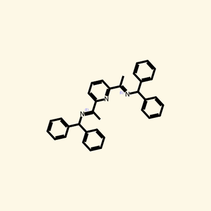 C/C(=N\C(c1ccccc1)c1ccccc1)c1cccc(/C(C)=N/C(c2ccccc2)c2ccccc2)n1